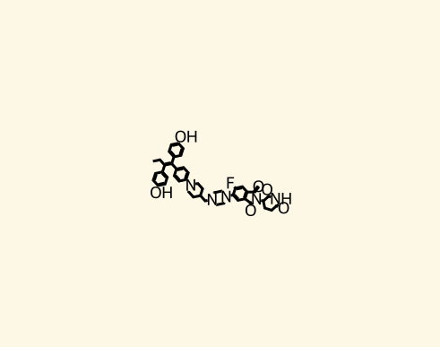 CCC(=C(c1ccc(O)cc1)c1ccc(N2CCC(CN3CCN(c4cc5c(cc4F)C(=O)N(C4CCC(=O)NC4=O)C5=O)CC3)CC2)cc1)c1ccc(O)cc1